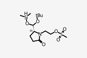 C[SiH](C)OC(OC(C)(C)C)[C@H]1CCC(=O)N1CCOS(C)(=O)=O